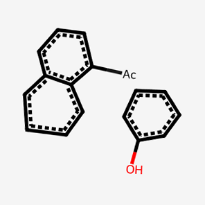 CC(=O)c1cccc2ccccc12.Oc1ccccc1